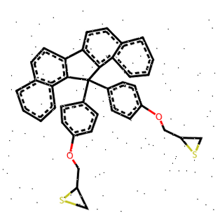 c1ccc2c3c(ccc2c1)-c1ccc2ccccc2c1C3(c1ccc(OCC2CS2)cc1)c1ccc(OCC2CS2)cc1